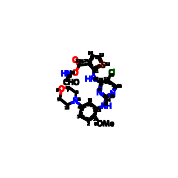 COc1ccc(N2CCOCC2)cc1Nc1ncc(Cl)c(Nc2sccc2C(=O)ONC=O)n1